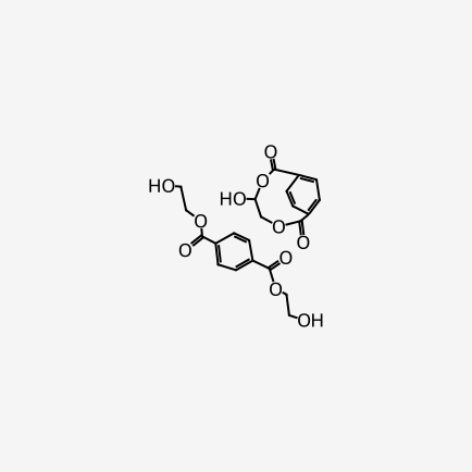 O=C(OCCO)c1ccc(C(=O)OCCO)cc1.O=C1OCC(O)OC(=O)c2ccc1cc2